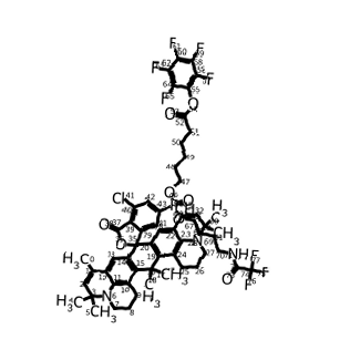 CC1=CC(C)(C)N2CCCc3c2c1cc1c3C(C)(C)c2c(cc3c4c2CCCN4C(C)(C)C=C3C)C12OC(=O)c1c(Cl)cc(P(=O)(OCCCCCC(=O)Oc3c(F)c(F)c(F)c(F)c3F)OCCCCNC(=O)C(F)(F)F)cc12